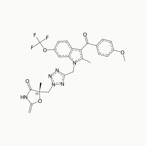 C=C1NC(=O)[C@](C)(Cn2nnc(Cn3c(C)c(C(=O)c4ccc(OC)cc4)c4ccc(OC(F)(F)F)cc43)n2)O1